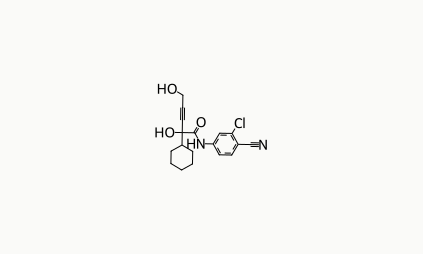 N#Cc1ccc(NC(=O)C(O)(C#CCO)C2CCCCC2)cc1Cl